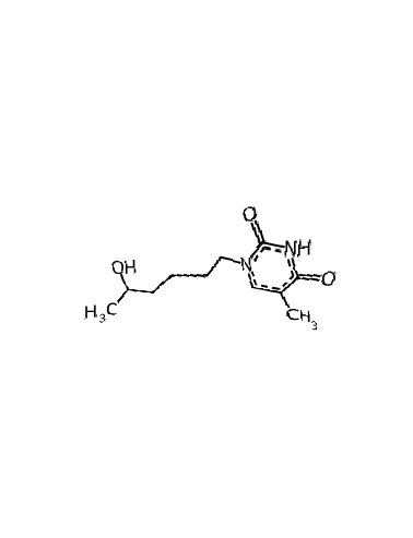 Cc1cn(CCCCC(C)O)c(=O)[nH]c1=O